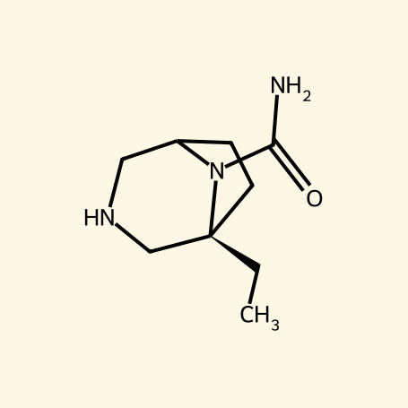 CC[C@@]12CCC(CNC1)N2C(N)=O